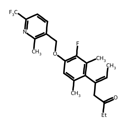 C/C=C(/CC(=O)CC)c1c(C)cc(OCc2ccc(C(F)(F)F)nc2C)c(F)c1C